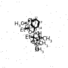 CCC(C)(O[Si](O[SiH](C)C)(c1ccccc1)C(CC)(CC)O[SiH](C)C)[SiH](C)C